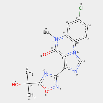 CCC(C)n1c(=O)c2c(-c3noc(C(C)(C)O)n3)ncn2c2ccc(Cl)cc21